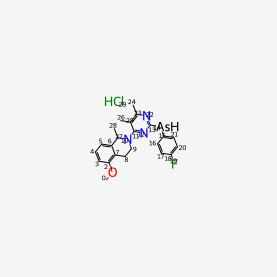 COc1cccc2c1CCN(c1nc([AsH]c3ccc(F)cc3)nc(C)c1C)C2C.Cl